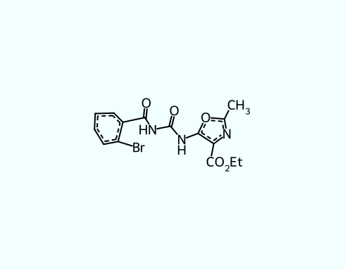 CCOC(=O)c1nc(C)oc1NC(=O)NC(=O)c1ccccc1Br